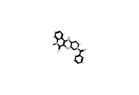 Cn1c(=O)c(C#N)c(NC2CCN(C(=O)c3ccccc3)CC2)c2ccccc21